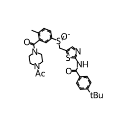 CC(=O)N1CCN(C(=O)c2cc([S+]([O-])Cc3cnc(NC(=O)c4ccc(C(C)(C)C)cc4)s3)ccc2C)CC1